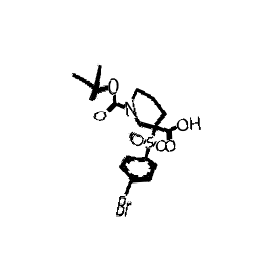 CC(C)(C)OC(=O)N1CCCC(C(=O)O)(S(=O)(=O)c2ccc(Br)cc2)C1